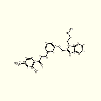 CCOCCn1c(COc2cccc(/C=C/C(=O)c3ccc(C(=O)O)cc3O)c2)nc2ccccc21